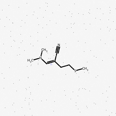 CSCC/C(C#N)=C/N(C)C